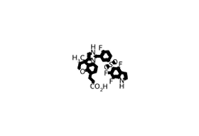 C[C@@]1(c2c[nH]c(-c3cc(S(=O)(=O)c4c(F)c(F)c5[nH]ccc5c4F)ccc3F)n2)CCOc2c(CCC(=O)O)cccc21